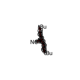 CC(C)(C)C1CCC(C(=O)O[C@H]2CC[C@H](OC(=O)C3CCC(C(=O)Oc4ccc(OC(=O)C5CCC(C(=O)O[C@H]6CC[C@H](OC(=O)C7CCC(C(C)(C)C)CC7)CC6)CC5)c5sc(-c6ccc(C#N)cc6)nc45)CC3)CC2)CC1